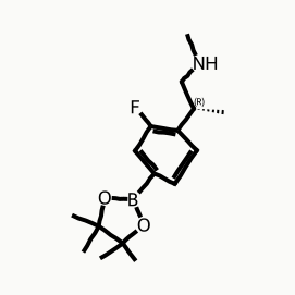 CNC[C@H](C)c1ccc(B2OC(C)(C)C(C)(C)O2)cc1F